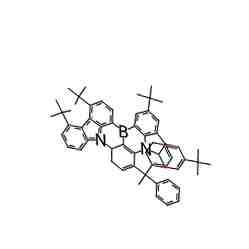 CC(C)(C)C1=CCC2C(=C1)c1cc(C(C)(C)C)cc3c1N2C1=C2B3c3ccc(C(C)(C)C)c4c5c(C(C)(C)C)cccc5n(c34)C2CC=C1C(C)(C1=CC=CCC1)c1ccccc1